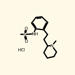 CN1CCCCC1CCc1ccccc1NS(C)(=O)=O.Cl